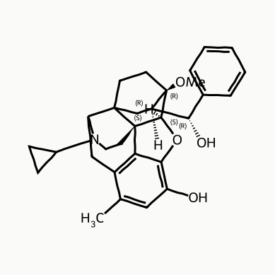 CO[C@]12CCC3(C[C@@H]1[C@@H](O)c1ccccc1)C1Cc4c(C)cc(O)c5c4[C@@]3(CCN1C1CC1)[C@@H]2O5